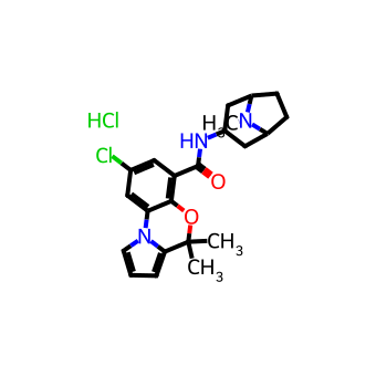 CN1C2CCC1CC(NC(=O)c1cc(Cl)cc3c1OC(C)(C)c1cccn1-3)C2.Cl